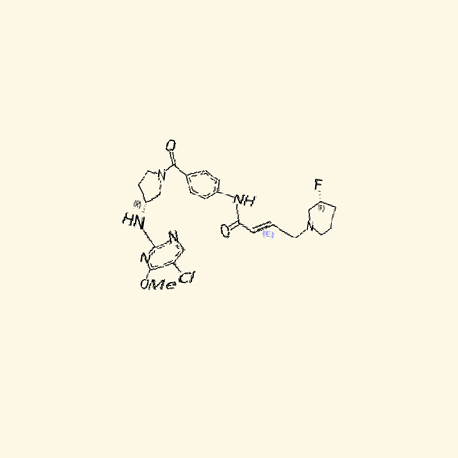 COc1nc(N[C@@H]2CCN(C(=O)c3ccc(NC(=O)/C=C/CN4CCC[C@@H](F)C4)cc3)C2)ncc1Cl